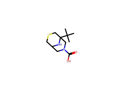 CC(C)(C)C12CSCC(CN(C(=O)O)C1)N2